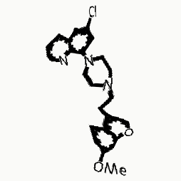 COc1ccc2c(CCN3CCN(c4cc(Cl)cc5cccnc45)CC3)coc2c1